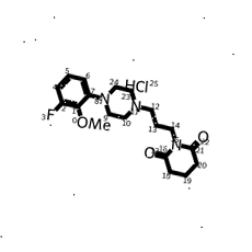 COc1c(F)cccc1N1CCN(CCCN2C(=O)CCCC2=O)CC1.Cl